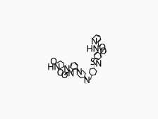 COc1cc2nc([C@H]3CC[C@H](CN(C)C4CCN(c5cccc6c5n(C)c(=O)n6C5CCC(=O)NC5=O)CC4)CC3)sc2cc1NC(=O)c1ccccn1